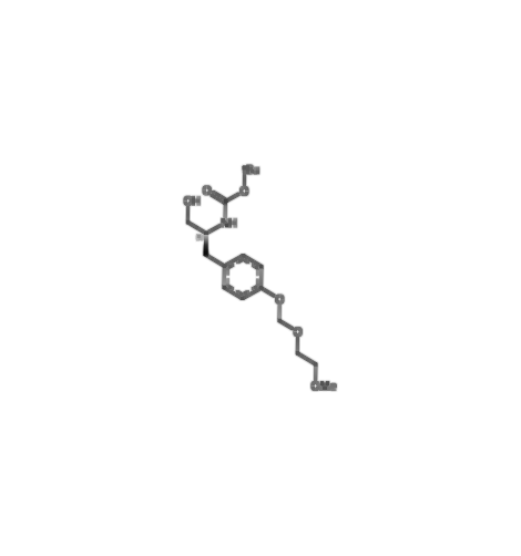 COCCOCOc1ccc(C[C@@H](CO)NC(=O)OC(C)(C)C)cc1